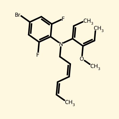 C/C=C\C=C/CN(C(=C/C)/C(=C\C)OC)c1c(F)cc(Br)cc1F